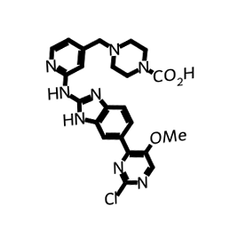 COc1cnc(Cl)nc1-c1ccc2nc(Nc3cc(CN4CCN(C(=O)O)CC4)ccn3)[nH]c2c1